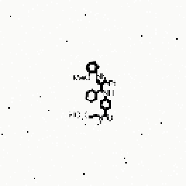 CCc1nn(-c2ccccc2OC)cc1C(Nc1ccc(C(=O)N(C)CCC(=O)O)cc1)C1CCCCC1